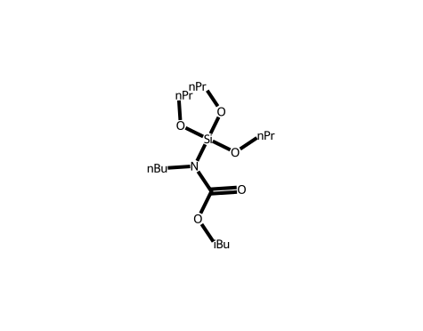 CCCCN(C(=O)OC(C)CC)[Si](OCCC)(OCCC)OCCC